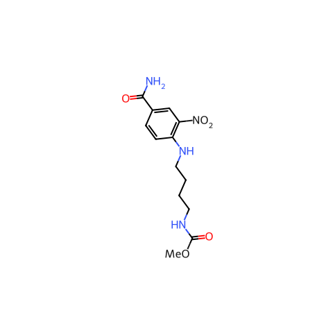 COC(=O)NCCCCNc1ccc(C(N)=O)cc1[N+](=O)[O-]